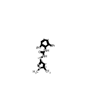 CC(C)c1cccc(C(C)C)c1NC(=O)NSc1cc(C(F)(F)F)n(C)n1